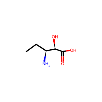 CC[C@H](N)[C@@H](O)C(=O)O